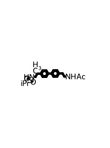 CC(=O)NCCc1ccc(-c2ccc(C(C)CNS(=O)(=O)C(C)C)cc2)cc1